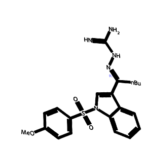 CCCC/C(=N\NC(=N)N)c1cn(S(=O)(=O)c2ccc(OC)cc2)c2ccccc12